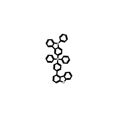 c1ccc(-n2c3ccccc3c3cc([Si](c4ccccc4)(c4ccccc4)c4ccc(-c5cccc6oc7ccccc7c56)cc4)ccc32)cc1